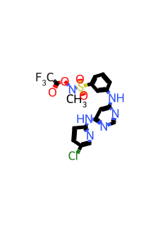 CN(OC(=O)C(F)(F)F)S(=O)(=O)c1cccc(Nc2cc(Nc3ccc(Cl)cn3)ncn2)c1